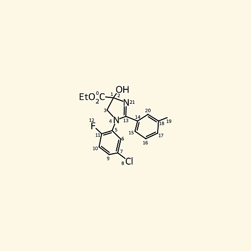 CCOC(=O)C1(O)CN(c2cc(Cl)ccc2F)C(c2cccc(C)c2)=N1